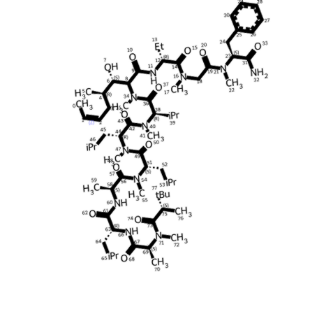 C/C=C\C[C@@H](C)[C@H](O)C(C(=O)N[C@H](CC)C(=O)N(C)CC(=O)N(C)[C@@H](Cc1ccccc1)C(N)=O)N(C)C(=O)[C@@H](C(C)C)N(C)C(=O)[C@@H](CC(C)C)N(C)C(=O)[C@H](CC(C)C)N(C)C(=O)[C@H](C)NC(=O)[C@@H](CC(C)C)NC(=O)[C@H](C)N(C)C(=O)[C@@H](C)C(C)(C)C